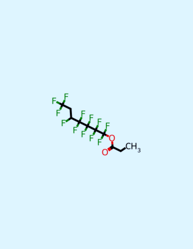 CCC(=O)OC(F)(F)C(F)(F)C(F)(F)C(F)(F)C(F)CC(F)(F)F